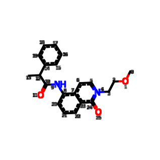 COCCn1ccc2c(NC(=O)C(C)c3ccccc3)cccc2c1=O